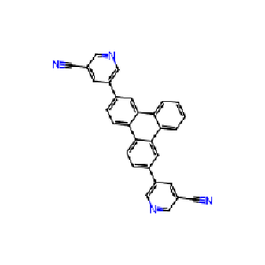 N#Cc1cncc(-c2ccc3c4ccc(-c5cncc(C#N)c5)cc4c4ccccc4c3c2)c1